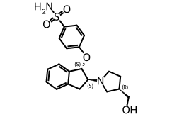 NS(=O)(=O)c1ccc(O[C@H]2c3ccccc3C[C@@H]2N2CC[C@@H](CO)C2)cc1